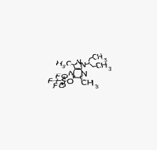 CCC(CC)n1nc(C)c2nc(OS(=O)(=O)C(F)(F)F)c(C)nc21